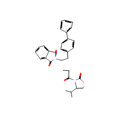 CC(C)C1COC(=O)N1C(=O)CC[C@@H](Cc1ccc(-c2ccccc2)cc1)N1C(=O)c2ccccc2C1=O